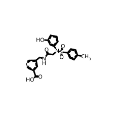 Cc1ccc(S(=O)(=O)N(CC(=O)NCc2cccc(C(=O)O)c2)c2cccc(O)c2)cc1